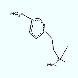 CO[Si](C)(C)CCc1ccc(S(=O)(=O)O)cc1